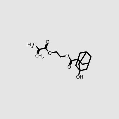 C=C(C)C(=O)OCCOC(=O)C12CC3CC(CC(O)(C3)C1)C2